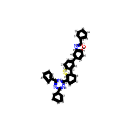 c1ccc(-c2nc(-c3ccccc3)nc(-c3cccc4c3sc3ccc(-c5ccc6oc(-c7ccccc7)nc6c5)cc34)n2)cc1